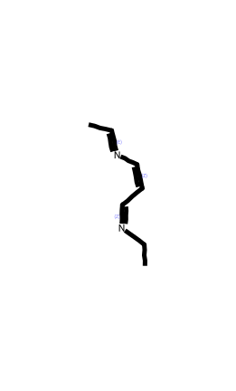 C/C=N/C=C\C=N/CC